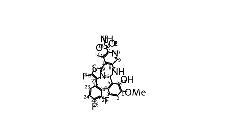 COc1cccc(CNc2cnc(S(N)(=O)=O)c(C)c2-c2nc(-c3ccc(F)c(F)c3)c(F)s2)c1O